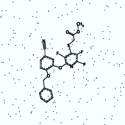 COC(=O)CSc1c(F)c(F)nc(Oc2cc(C#N)ccc2OCc2ccccc2)c1F